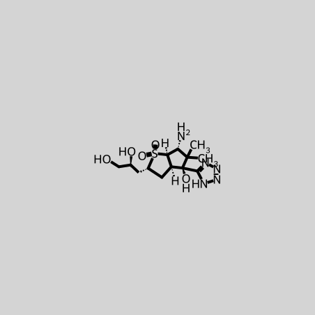 CC1(C)[C@@H](N)[C@H]2[C@H](C[C@H](C[C@H](O)CO)S2(=O)=O)[C@@]1(O)c1nnn[nH]1